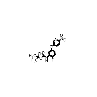 CC(C)(C)OC(=O)Nc1cc(Oc2ccc([N+](=O)[O-])nc2)ccc1F